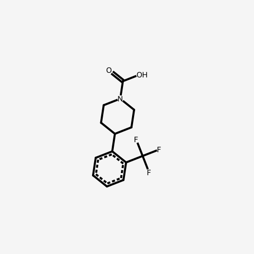 O=C(O)N1CCC(c2ccccc2C(F)(F)F)CC1